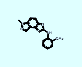 COc1ccccc1Nc1nc2c(ccc3c2cnn3C)s1